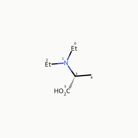 CCN(CC)[C@H](C)C(=O)O